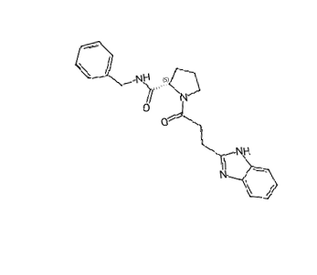 O=C(NCc1ccccc1)[C@@H]1CCCN1C(=O)CCc1nc2ccccc2[nH]1